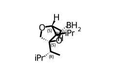 B[C@@H]1O[C@]2([C@H](C)C(C)C)CO[C@H]1[C@H]2C(C)C